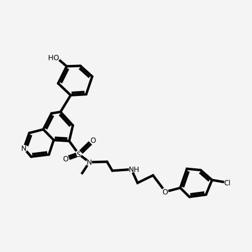 CN(CCNCCOc1ccc(Cl)cc1)S(=O)(=O)c1cc(-c2cccc(O)c2)cc2cnccc12